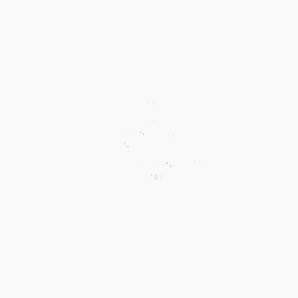 CC(C)(C)NC(=S)Nc1cccc(F)c1O.CC(C)NC(=S)Nc1cccc(F)c1O